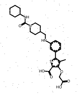 Cc1c(-c2cccc(NCC3CCN(C(=O)NC4CCCCC4)CC3)c2)sc(C(=O)O)c1OCC(=O)O